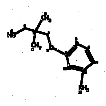 CC(C)(CO)COc1nccc(N)n1